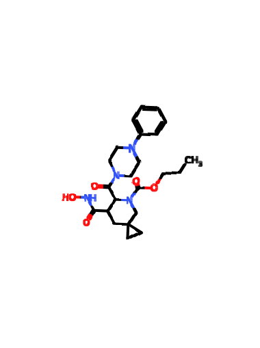 CCCOC(=O)N1CC2(CC2)CC(C(=O)NO)C1C(=O)N1CCN(c2ccccc2)CC1